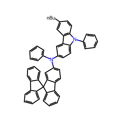 CCCCc1ccc2c(c1)c1cc(N(c3ccccc3)c3ccc4c(c3)C3(c5ccccc5-c5ccccc53)c3ccccc3-4)ccc1n2-c1ccccc1